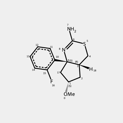 CO[C@H]1C[C@H]2CSC(N)=N[C@@]2(c2ccccc2F)C1